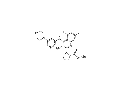 Cc1c(N2CCC[C@@H]2C(=O)OC(C)(C)C)nc2cc(F)cc(F)c2c1Nc1cncc(N2CCOCC2)c1